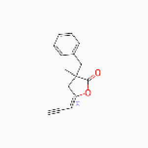 C#C/C=C1\CC(C)(Cc2ccccc2)C(=O)O1